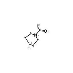 O=C(I)N1CCNCC1